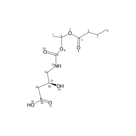 CCCC(=O)OC(C)OC(=O)NC[C@@H](O)CS(=O)O